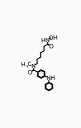 CN(CCCCCCC(=O)NO)C(=O)c1ccc(Nc2ccccc2)cc1